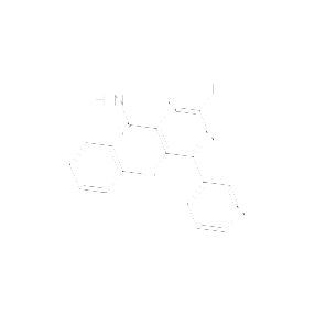 NC(=O)c1nc(F)nc(-c2cccnc2)c1Oc1ccccc1